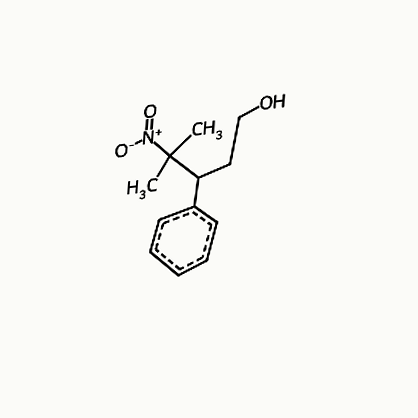 CC(C)(C(CCO)c1ccccc1)[N+](=O)[O-]